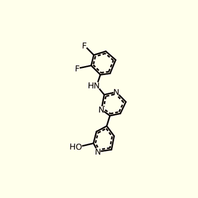 Oc1cc(-c2ccnc(Nc3cccc(F)c3F)n2)ccn1